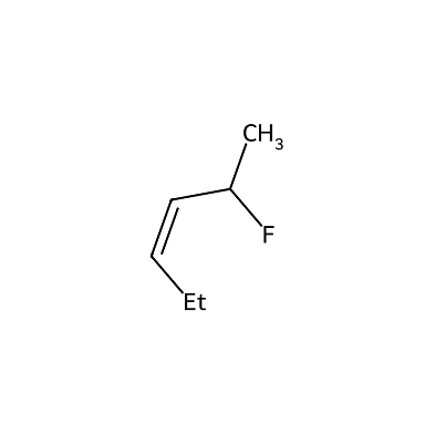 CC/C=C\C(C)F